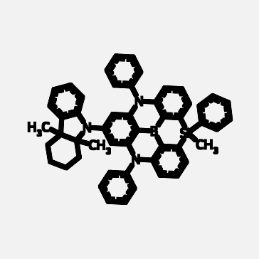 CC12CCCCC1(C)N(c1cc3c4c(c1)N(c1ccccc1)c1cccc5c1B4c1c(cccc1[Si]5(C)c1ccccc1)N3c1ccccc1)c1ccccc12